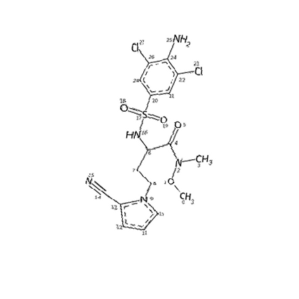 CON(C)C(=O)C(CCn1cccc1C#N)NS(=O)(=O)c1cc(Cl)c(N)c(Cl)c1